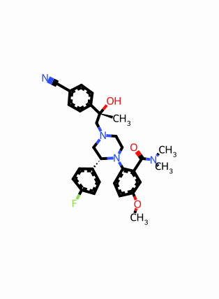 COc1ccc(N2CCN(C[C@@](C)(O)c3ccc(C#N)cc3)C[C@H]2c2ccc(F)cc2)c(C(=O)N(C)C)c1